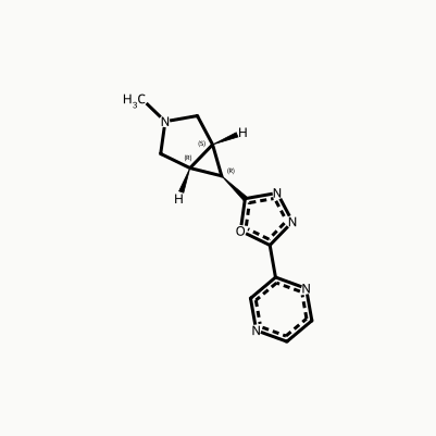 CN1C[C@@H]2[C@H](C1)[C@H]2c1nnc(-c2cnccn2)o1